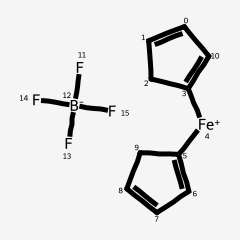 C1=CC[C]([Fe+][C]2=CC=CC2)=C1.F[B-](F)(F)F